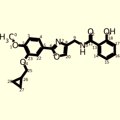 COc1ccc(-c2nc(CNC(=O)c3ccccc3O)co2)cc1OCC1CC1